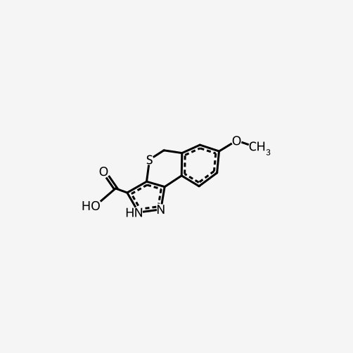 COc1ccc2c(c1)CSc1c-2n[nH]c1C(=O)O